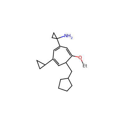 CCOC1=CC(C2(N)CC2)=CC(C2CC2)=CC1CC1CCCC1